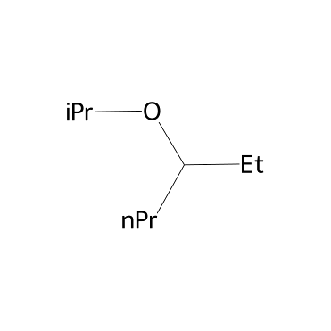 [CH2]C(C)OC(CC)CCC